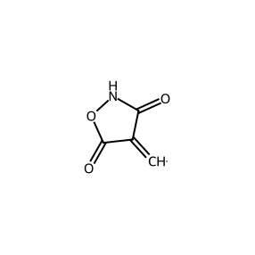 [CH]=C1C(=O)NOC1=O